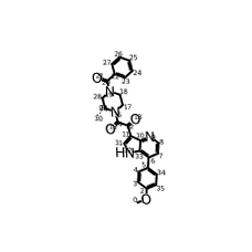 COc1ccc(-c2ccnc3c(C(=O)C(=O)N4CCN(C(=O)c5ccccc5)C[C@H]4C)c[nH]c23)cc1